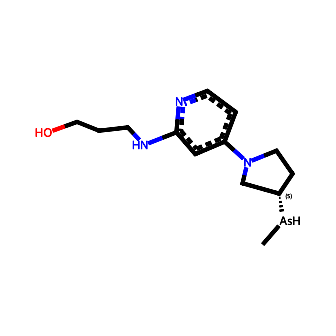 C[AsH][C@H]1CCN(c2ccnc(NCCCO)c2)C1